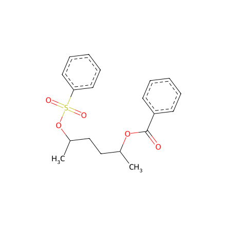 CC(CCC(C)OS(=O)(=O)c1ccccc1)OC(=O)c1ccccc1